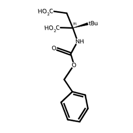 CC(C)(C)[C@@](CC(=O)O)(NC(=O)OCc1ccccc1)C(=O)O